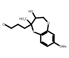 COc1ccc2c(c1)OCC(O)C(CCCCl)(C(=O)O)S2